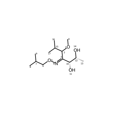 COC(/C(=N\OCC(C)C)[C@@H](O)[C@@H](C)O)C(C)C